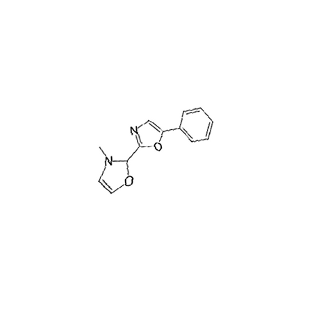 CN1C=COC1c1ncc(-c2ccccc2)o1